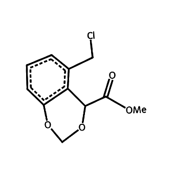 COC(=O)C1OCOc2cccc(CCl)c21